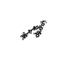 NC(=S)c1cccc(-c2cn(C3CCN(S(=O)(=O)CCCNC(=O)CCCC[C@@H]4SC[C@@H]5NC(=O)N[C@@H]54)CC3)c3cc(CNC(=O)c4c[nH]c5ccccc45)ccc23)c1